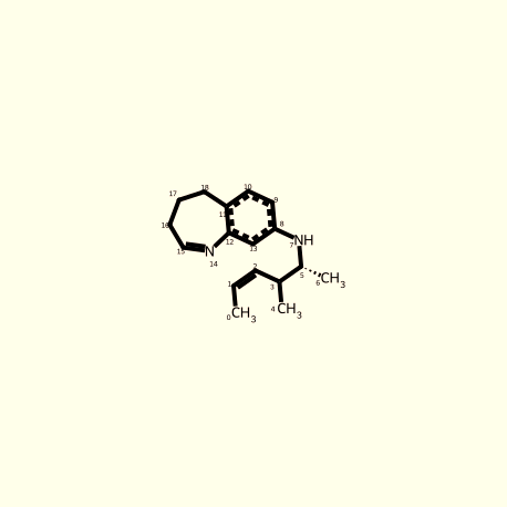 C/C=C\C(C)[C@@H](C)Nc1ccc2c(c1)N=CCCC2